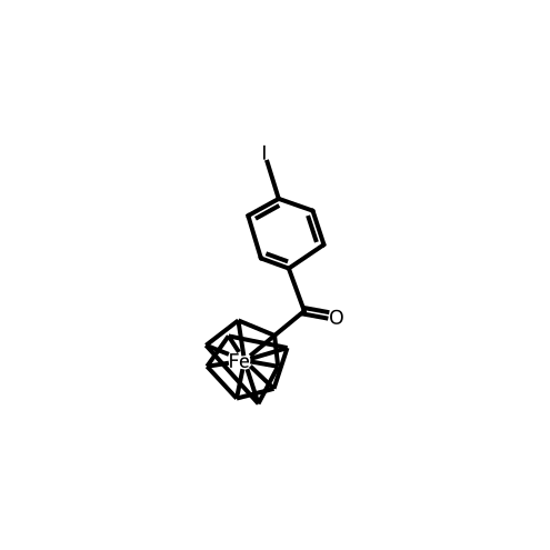 O=C(c1ccc(I)cc1)[C]12[CH]3[CH]4[CH]5[CH]1[Fe]45321678[CH]2[CH]1[CH]6[CH]7[CH]28